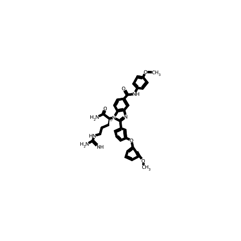 COc1ccc(NC(=O)c2ccc3c(c2)nc(-c2cccc(Oc4cccc(OC)c4)c2)n3[C@@H](CCCNC(=N)N)C(N)=O)cc1